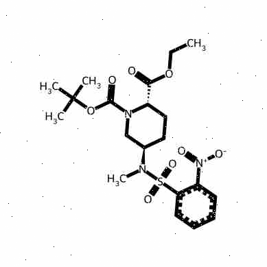 CCOC(=O)[C@@H]1CC[C@@H](N(C)S(=O)(=O)c2ccccc2[N+](=O)[O-])CN1C(=O)OC(C)(C)C